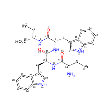 CC(C)C[C@H](NC(=O)[C@H](Cc1c[nH]c2ccccc12)NC(=O)[C@H](Cc1c[nH]c2ccccc12)NC(=O)[C@@H](N)CC(C)C)C(=O)O